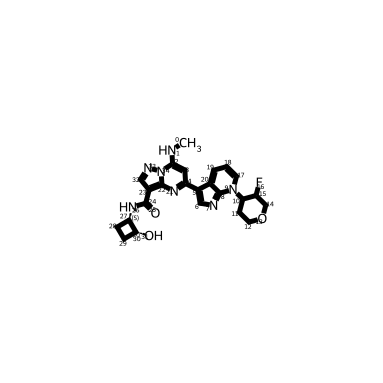 CNc1cc(-c2cnc3n(C4CCOCC4F)cccc2-3)nc2c(C(=O)N[C@H]3CC[C@H]3O)cnn12